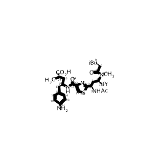 CC[C@H](C)CC(=O)N(C)[C@H](C[C@@H](NC(C)=O)c1nc(C(=O)N[C@@H](Cc2ccc(N)cc2)C[C@H](C)C(=O)O)cs1)C(C)C